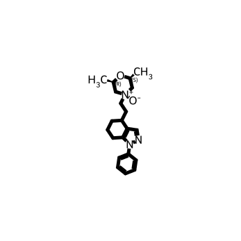 C[C@@H]1C[N+]([O-])(CCC2CCCc3c2cnn3-c2ccccc2)C[C@H](C)O1